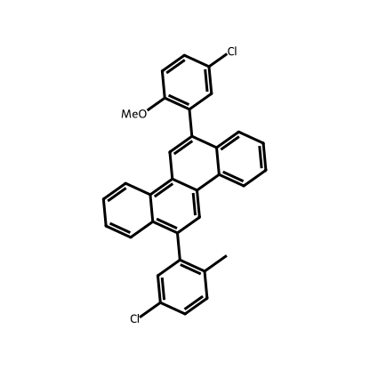 COc1ccc(Cl)cc1-c1cc2c3ccccc3c(-c3cc(Cl)ccc3C)cc2c2ccccc12